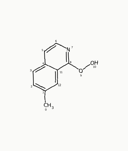 Cc1ccc2ccnc(OO)c2c1